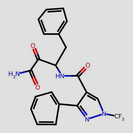 NC(=O)C(=O)C(Cc1ccccc1)NC(=O)c1cn(C(F)(F)F)nc1-c1ccccc1